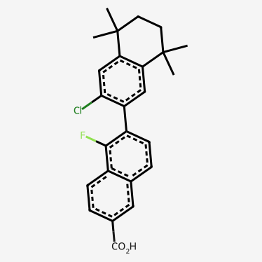 CC1(C)CCC(C)(C)c2cc(-c3ccc4cc(C(=O)O)ccc4c3F)c(Cl)cc21